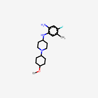 CCOC1CCC(N2CCC(Nc3cc(C)c(F)cc3N)CC2)CC1